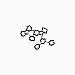 c1ccc(-c2cc(-c3ccccc3)nc(-n3c4ccccc4c4cc(-c5cccc6c7ccccc7n(-c7ccccc7)c56)ccc43)c2)cc1